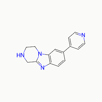 c1cc(-c2ccc3nc4n(c3c2)CCNC4)ccn1